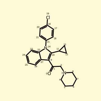 O=C(CN1CCCCC1)c1c(C2CC2)n(-c2ccc(Cl)cc2)c2ccccc12